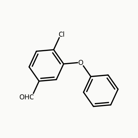 O=Cc1ccc(Cl)c(Oc2ccccc2)c1